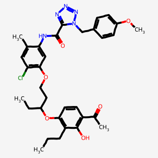 CCCc1c(OC(CC)CCOc2cc(NC(=O)c3nnnn3Cc3ccc(OC)cc3)c(C)cc2Cl)ccc(C(C)=O)c1O